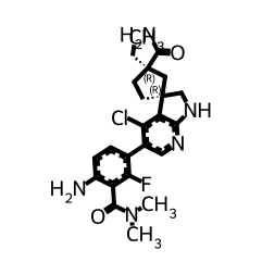 CC[C@@]1(C(N)=O)CC[C@@]2(CNc3ncc(-c4ccc(N)c(C(=O)N(C)C)c4F)c(Cl)c32)C1